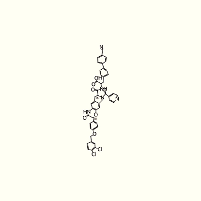 N#Cc1ccc(-c2ccc(CC(NC(=O)[C@@H]3Cc4cc5c(cc4CN3C(=O)c3ccncc3)O[C@@H](c3ccc(OCc4ccc(Cl)c(Cl)c4)cc3)C(=O)N5)C(=O)O)cc2)cc1